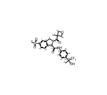 CC1(C(=O)N2Cc3cc(S(C)(=O)=O)ccc3C2C(=O)Nc2ccc(C(C)(O)C(F)(F)F)cc2)COC1